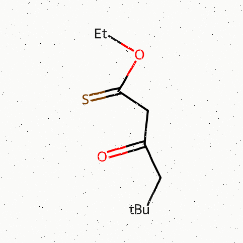 CCOC(=S)CC(=O)CC(C)(C)C